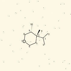 CC(C)[C@]1(C)CCOC[C@@H]1C